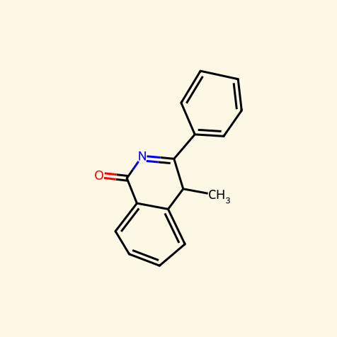 CC1C(c2ccccc2)=NC(=O)c2ccccc21